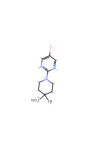 Bc1cnc(N2CCC(C#N)(C(=O)OCC)CC2)nc1